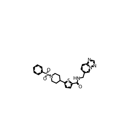 O=C(NCc1ccc2ncnn2c1)c1ccc(C2CCN(S(=O)(=O)c3ccccc3)CC2)s1